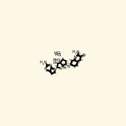 Cl.Cl.Nc1ncc2ccn([C@@H]3O[C@@H]4[C@@H](Oc5ccc6cc(Br)c(N)nc6c5)CC[C@]4(O)[C@H]3O)c2n1